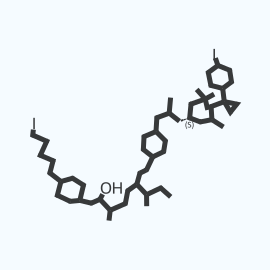 CCC(C)C(CCC1CCC(CC(C)C[C@@H](CC(C)CC2(C3CCC(I)CC3)CC2)CC(C)(C)C)CC1)CCC(C)C(O)CC1CCC(CCCCCI)CC1